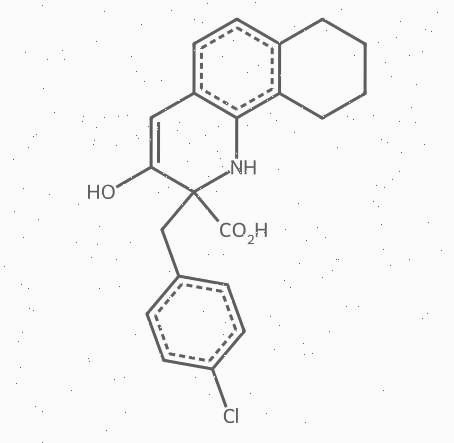 O=C(O)C1(Cc2ccc(Cl)cc2)Nc2c(ccc3c2CCCC3)C=C1O